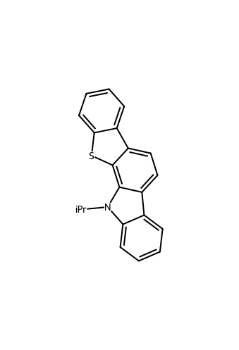 CC(C)n1c2ccccc2c2ccc3c4ccccc4sc3c21